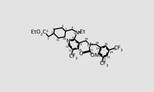 CCOC(=O)CC1CCC(CN(CC)c2ncc(C(F)(F)F)cc2CN(Cc2cc(C(F)(F)F)cc(C(F)(F)F)c2)C(=O)OC)CC1